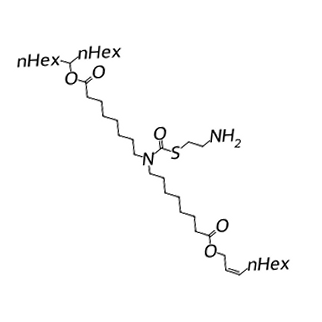 CCCCCC/C=C\COC(=O)CCCCCCCN(CCCCCCCC(=O)OC(CCCCCC)CCCCCC)C(=O)SCCN